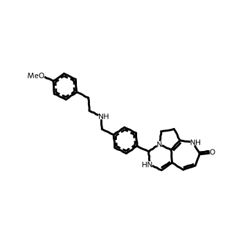 COc1ccc(CCNCc2ccc(C3NC=C4C=CC(=O)NC5=C4N3CC5)cc2)cc1